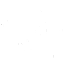 Cc1ccc(F)c(C(C)C(NS(=O)(=O)c2cc(-c3nnco3)ccc2C(N)=O)c2n[nH]c(=O)o2)c1C